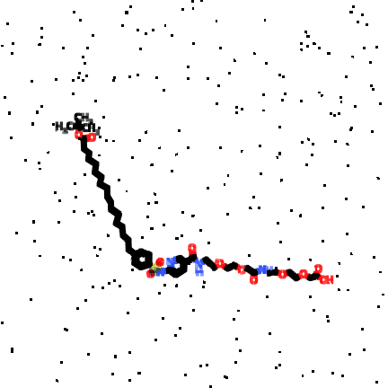 CC(C)(C)OC(=O)CCCCCCCCCCCCCCCCCc1ccc(S(=O)(=O)Nc2ccc(C(=O)NCCOCCOCC(=O)NCCOCCOCC(=O)O)cn2)cc1